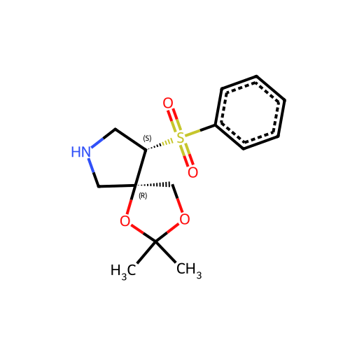 CC1(C)OC[C@@]2(CNC[C@@H]2S(=O)(=O)c2ccccc2)O1